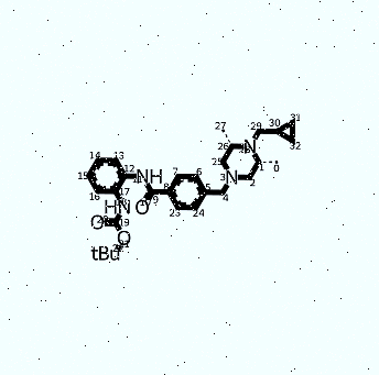 C[C@@H]1CN(Cc2ccc(C(=O)Nc3ccccc3NC(=O)OC(C)(C)C)cc2)C[C@H](C)N1CC1CC1